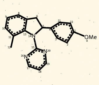 COc1ccc(C2Cc3cccc(C)c3N2c2ncccn2)cc1